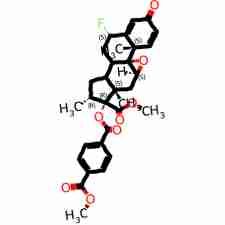 COC(=O)c1ccc(C(=O)O[C@]2(C(=O)OC)[C@H](C)CC3C4C[C@H](F)C5=CC(=O)C=C[C@]5(C)[C@@]45O[C@H]5C[C@@]32C)cc1